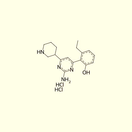 CCc1cccc(O)c1-c1cc(C2CCCNC2)nc(N)n1.Cl.Cl